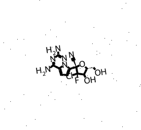 N#C[C@@]1(c2ccc3c(N)nc(N)nn23)O[C@H](CO)C(O)[C@]1(F)Cl